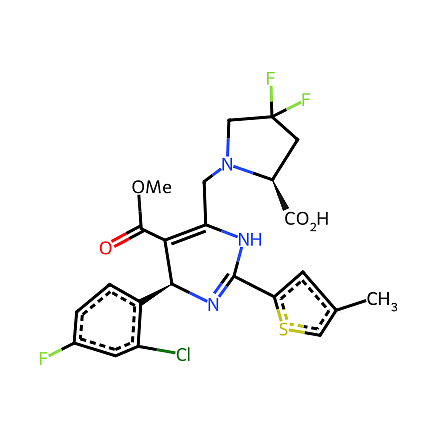 COC(=O)C1=C(CN2CC(F)(F)C[C@H]2C(=O)O)NC(c2cc(C)cs2)=N[C@H]1c1ccc(F)cc1Cl